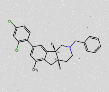 Cc1cc(-c2ccc(Cl)cc2Cl)cc2c1C[C@H]1CCN(Cc3ccccc3)C[C@@H]21